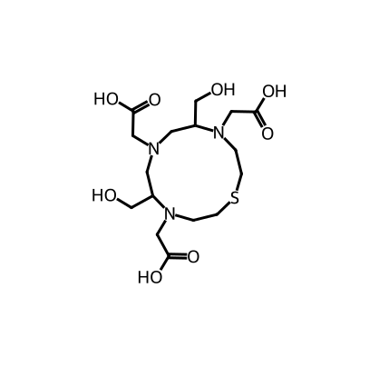 O=C(O)CN1CC(CO)N(CC(=O)O)CCSCCN(CC(=O)O)C(CO)C1